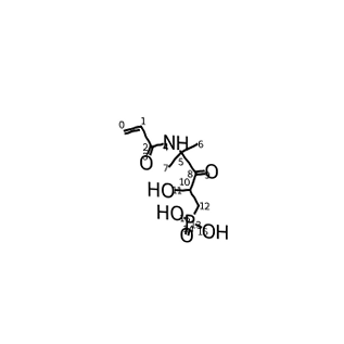 C=CC(=O)NC(C)(C)C(=O)C(O)CP(=O)(O)O